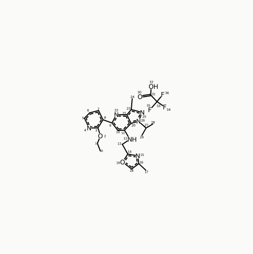 CCOc1ncccc1-c1cc(NCc2nc(C)co2)c2c(n1)c(C)nn2C(C)C.O=C(O)C(F)(F)F